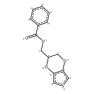 O=C(OCC1COc2cscc2O1)c1ccccc1